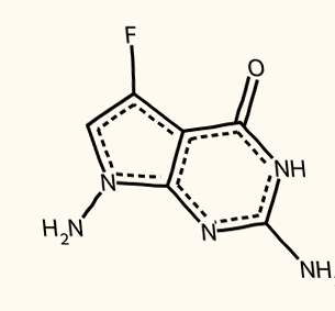 Nc1nc2c(c(F)cn2N)c(=O)[nH]1